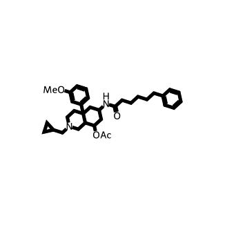 COc1cccc(C23CCN(CC4CC4)CC2C(OC(C)=O)CC(NC(=O)CCCCCc2ccccc2)C3)c1